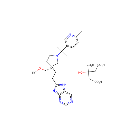 CCOC[C@]1(CCc2nc3ncncc3[nH]2)CCN(C(C)(C)c2ccc(C)nc2)C1.O=C(O)CC(O)(CC(=O)O)C(=O)O